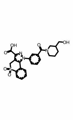 O=C(O)c1nn(-c2cccc(C(=O)N3CCCC(CO)C3)c2)c2c1CS(=O)(=O)c1ccccc1-2